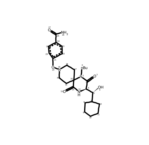 CCCCN1C(=O)[C@@H]([C@H](O)C2CCCCC2)NC(=O)C12CCN(Oc1ccc(C(N)=O)cc1)CC2